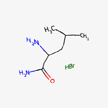 Br.CC(C)CC(N)C(N)=O